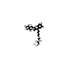 Cc1cc2c(CCCCOCNC(=O)CN)c3c(nc2cc1F)-c1cc2c(c(=O)n1C3)COC(=O)C2O